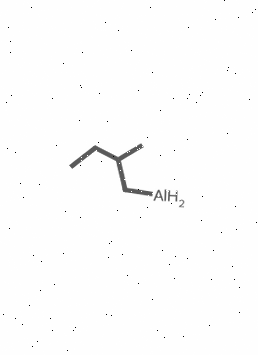 CCC(C)[CH2][AlH2]